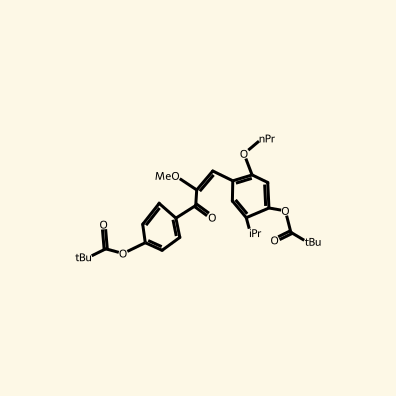 CCCOc1cc(OC(=O)C(C)(C)C)c(C(C)C)cc1C=C(OC)C(=O)c1ccc(OC(=O)C(C)(C)C)cc1